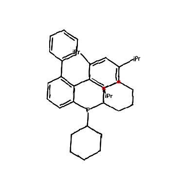 CC(C)c1cc(C(C)C)c(-c2c(-c3ccccc3)cccc2P(C2CCCCC2)C2CCCCC2)c(C(C)C)c1